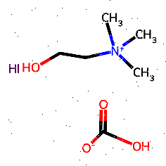 C[N+](C)(C)CCO.I.O=C([O-])O